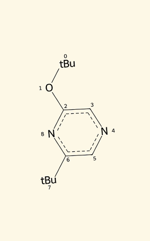 CC(C)(C)Oc1cncc(C(C)(C)C)n1